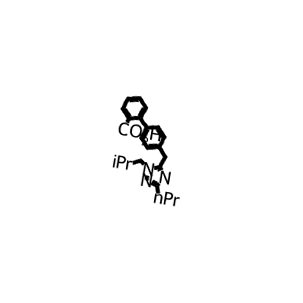 CCCc1nc(Cc2ccc(-c3ccccc3C(=O)O)cc2)n(CC(C)C)n1